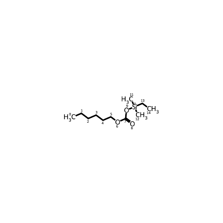 CCCCCCOC(=O)O[Si](C)(C)CC